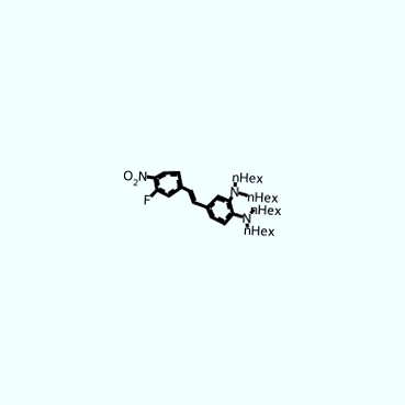 CCCCCCN(CCCCCC)c1ccc(C=Cc2ccc([N+](=O)[O-])c(F)c2)cc1N(CCCCCC)CCCCCC